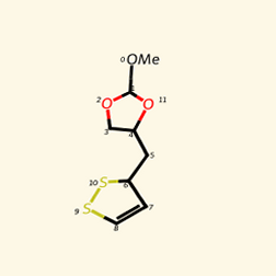 COC1OCC(CC2C=CSS2)O1